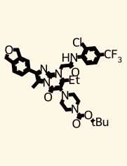 CCc1c(N2CCN(C(=O)OC(C)(C)C)CC2)c(=O)n2c(C)c(-c3ccc4c(c3)COC4)nc2n1CC(=O)Nc1ccc(C(F)(F)F)cc1Cl